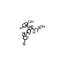 CC(C)(O)[C@H](F)CNC(=O)c1cnc(-n2ncc3cc(C#N)cnc32)cc1N[C@]12CC3C[C@H](CC(O)(C3)C1)C2